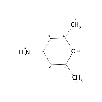 CC1CC(N)CC(C)O1